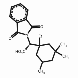 CCC1([C@@H](C(=O)O)N2C(=O)c3ccccc3C2=O)CC(C)CC(C)(C)C1